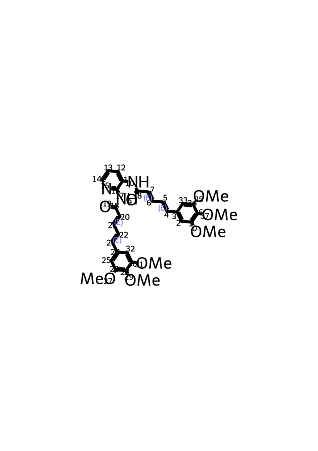 COc1cc(/C=C/C=C/C(=O)Nc2cccnc2NC(=O)/C=C/C=C/c2cc(OC)c(OC)c(OC)c2)cc(OC)c1OC